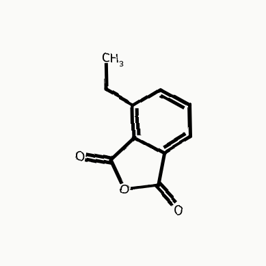 CCc1cccc2c1C(=O)OC2=O